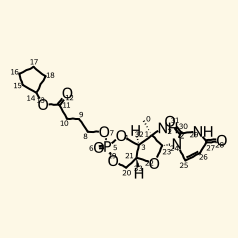 C[C@@]1(N)[C@@H]2O[P@@](=O)(OCCCC(=O)OC3CCCC3)OC[C@H]2O[C@H]1n1ccc(=O)[nH]c1=O